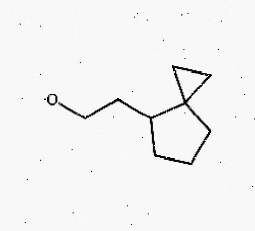 [O]CCC1CCCC12CC2